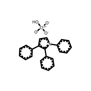 [O-][Cl+3]([O-])([O-])O.c1ccc(-c2ccn(-c3ccccc3)c2-c2ccccc2)cc1